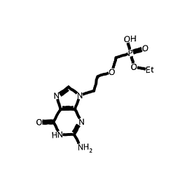 CCOP(=O)(O)COCCn1cnc2c(=O)[nH]c(N)nc21